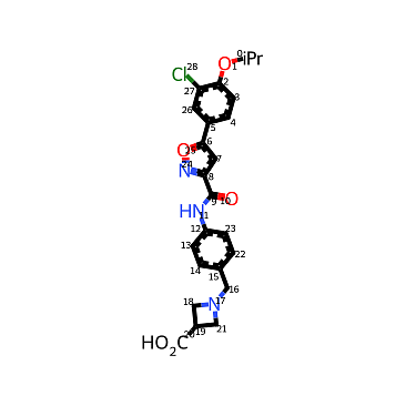 CC(C)Oc1ccc(-c2cc(C(=O)Nc3ccc(CN4CC(C(=O)O)C4)cc3)no2)cc1Cl